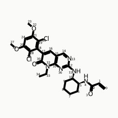 C=CC(=O)N[C@H]1CCCC[C@H]1Nc1ncc2cc(-c3c(Cl)c(OC)cc(OC)c3Cl)c(=O)n(CC)c2n1